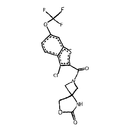 O=C1NC2(CO1)CN(C(=O)c1sc3cc(OC(F)(F)F)ccc3c1Cl)C2